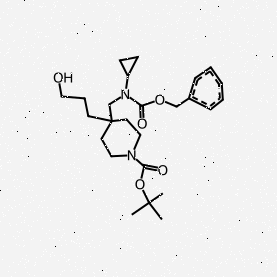 CC(C)(C)OC(=O)N1CCC(CCCO)(CN(C(=O)OCc2ccccc2)C2CC2)CC1